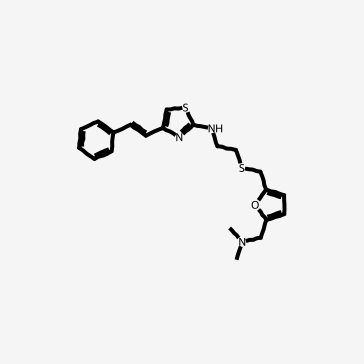 CN(C)Cc1ccc(CSCCNc2nc(/C=C/c3ccccc3)cs2)o1